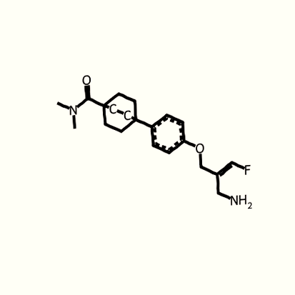 CN(C)C(=O)C12CCC(c3ccc(OCC(=CF)CN)cc3)(CC1)CC2